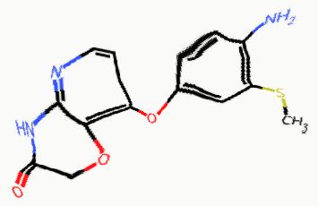 CSc1cc(Oc2ccnc3c2OCC(=O)N3)ccc1N